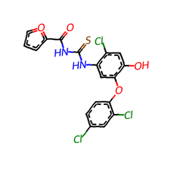 O=C(NC(=S)Nc1cc(Oc2ccc(Cl)cc2Cl)c(O)cc1Cl)c1ccco1